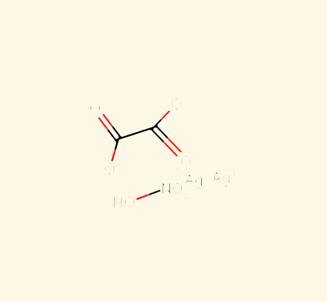 O=C([O-])C(=O)[O-].O=[N+]([O-])O.[Ag+].[Ag+]